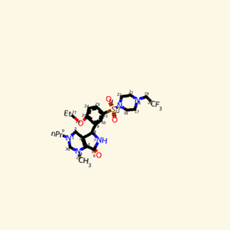 CCCN1CC2=C(C(=O)NC2c2cc(S(=O)(=O)N3CCN(CC(F)(F)F)CC3)ccc2OCC)N(C)C1